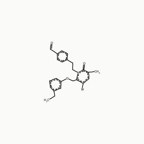 CCc1cccc(OCc2c(Br)cc(C)c(=O)n2CCc2ccc(C=O)cc2)c1